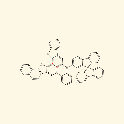 c1ccc(N(c2ccc3c(c2)C2(c4ccccc4-c4ccccc42)c2ccccc2-3)c2ccc3oc4ccccc4c3c2)c(-c2ccc3oc4c5ccccc5ccc4c3c2)c1